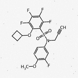 C#CCN(c1ccc(OC)c(F)c1)S(=O)(=O)c1c(F)c(F)c(F)c(F)c1OC1CCC1